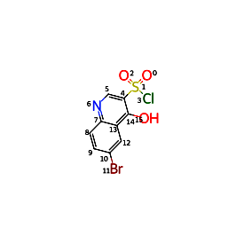 O=S(=O)(Cl)c1cnc2ccc(Br)cc2c1O